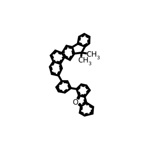 CC1(C)c2ccccc2-c2cc3ccc4ccc(-c5cccc(-c6cccc7c6oc6ccccc67)c5)cc4c3cc21